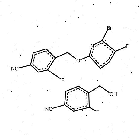 N#Cc1ccc(CO)c(F)c1.N#Cc1ccc(COc2ccc(F)c(Br)n2)c(F)c1